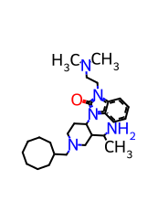 CC(N)C1CN(CC2CCCCCCC2)CCC1n1c(=O)n(CCN(C)C)c2ccccc21